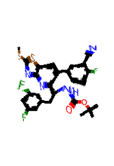 CSc1nc2nc(C(Cc3cc(F)cc(F)c3)NC(=O)OC(C)(C)C)c(-c3ccc(F)c(C#N)c3)cc2s1